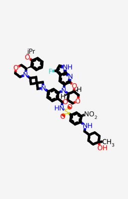 CC(C)Oc1ccccc1[C@@H]1COCCN1C1CC2(C1)CN(c1ccc(C(=O)NS(=O)(=O)c3ccc(NCC4CCC(C)(O)CC4)c([N+](=O)[O-])c3)c(N3c4cc5c(F)c[nH]c5nc4O[C@H]4COCC[C@@H]43)c1)C2